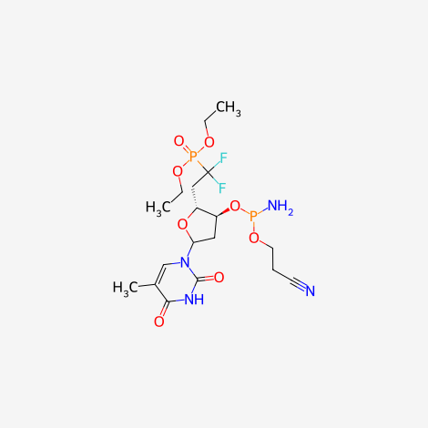 CCOP(=O)(OCC)C(F)(F)C[C@H]1OC(n2cc(C)c(=O)[nH]c2=O)C[C@@H]1OP(N)OCCC#N